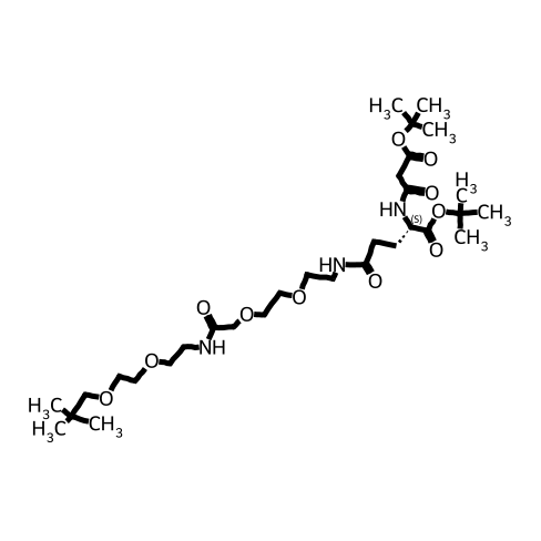 CC(C)(C)COCCOCCNC(=O)COCCOCCNC(=O)CC[C@H](NC(=O)CC(=O)OC(C)(C)C)C(=O)OC(C)(C)C